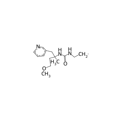 [CH2]CNC(=O)NC(C)(CCOC)Cc1cccnc1